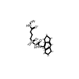 CCCNC(=O)CCCS(=O)(=O)NC(=O)Nc1c2c(cc3c1CCC3)CCC2